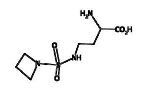 NC(CCNS(=O)(=O)N1CCC1)C(=O)O